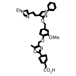 CCn1cnc(C=Cc2cn(-c3ccccc3)nc2OCc2ccc(OCc3nc(-c4ccc(CC(=O)O)cc4)oc3C)c(OC)c2)c1